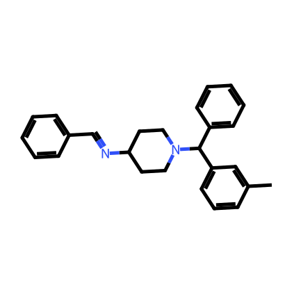 Cc1cccc(C(c2ccccc2)N2CCC(N=Cc3ccccc3)CC2)c1